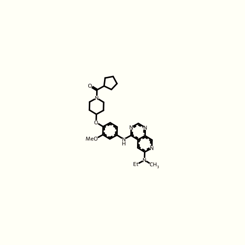 CCN(C)c1cc2c(Nc3ccc(OC4CCN(C(=O)C5CCCC5)CC4)c(OC)c3)ncnc2cn1